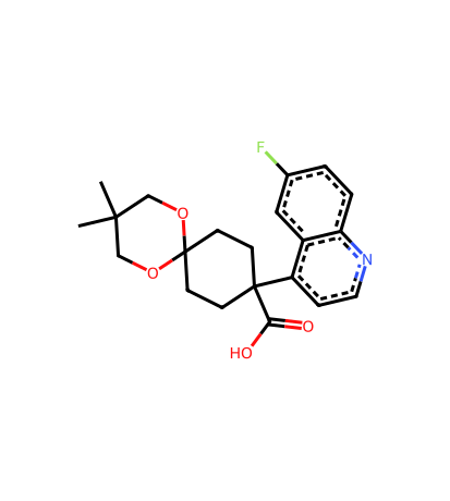 CC1(C)COC2(CCC(C(=O)O)(c3ccnc4ccc(F)cc34)CC2)OC1